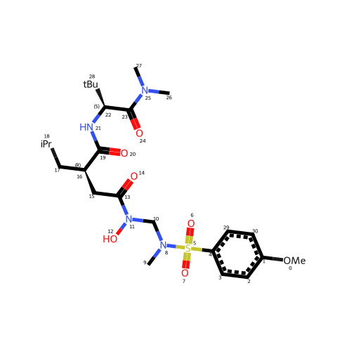 COc1ccc(S(=O)(=O)N(C)CN(O)C(=O)C[C@@H](CC(C)C)C(=O)N[C@H](C(=O)N(C)C)C(C)(C)C)cc1